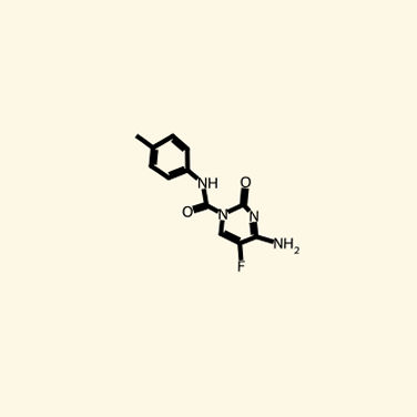 Cc1ccc(NC(=O)n2cc(F)c(N)nc2=O)cc1